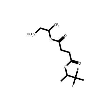 CC(OC(=O)CCC(=O)OC(CS(=O)(=O)O)C(F)(F)F)C(C)(F)F